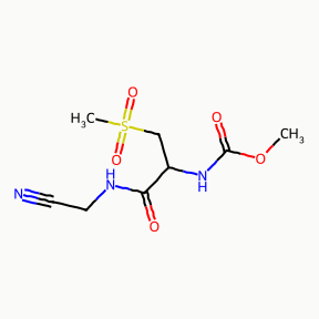 COC(=O)NC(CS(C)(=O)=O)C(=O)NCC#N